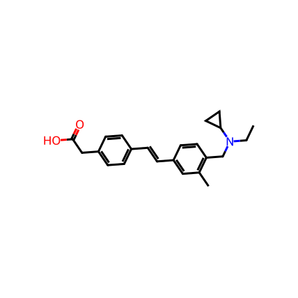 CCN(Cc1ccc(C=Cc2ccc(CC(=O)O)cc2)cc1C)C1CC1